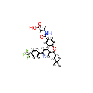 CC(CC(=O)O)NC(=O)c1ccc(OC(CCC(C)(C)C)c2ccc(-c3ccc(C(F)(F)F)cc3)nc2)cc1